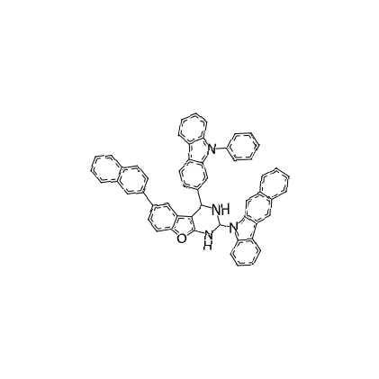 c1ccc(-n2c3ccccc3c3ccc(C4NC(n5c6ccccc6c6cc7ccccc7cc65)Nc5oc6ccc(-c7ccc8ccccc8c7)cc6c54)cc32)cc1